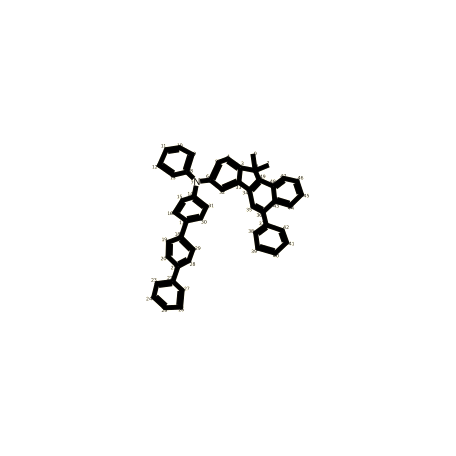 CC1(C)c2ccc(N(c3ccccc3)c3ccc(-c4ccc(-c5ccccc5)cc4)cc3)cc2-c2cc(-c3ccccc3)c3ccccc3c21